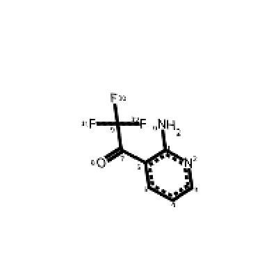 Nc1ncccc1C(=O)C(F)(F)F